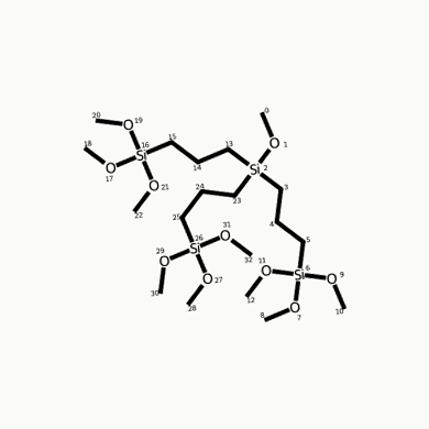 CO[Si](CCC[Si](OC)(OC)OC)(CCC[Si](OC)(OC)OC)CCC[Si](OC)(OC)OC